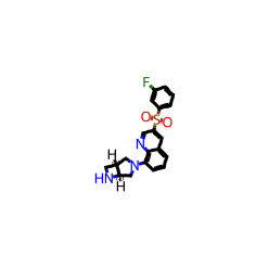 O=S(=O)(c1cccc(F)c1)c1cnc2c(N3C[C@H]4CN[C@@H]4C3)cccc2c1